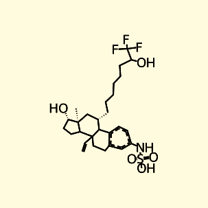 C=CC12CCc3cc(NS(=O)(=O)O)ccc3C1[C@@H](CCCCCCC(O)C(F)(F)F)C[C@@]1(C)C2CC[C@@H]1O